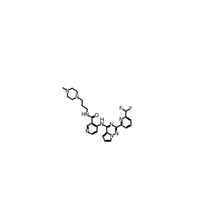 CN1CCN(CCCNC(=O)c2cnccc2Nc2nc(-c3cccc(C(F)F)n3)nn3cccc23)CC1